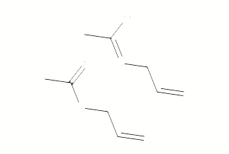 C=CCSC(C)=O.C=CC[SH]=C(C)O